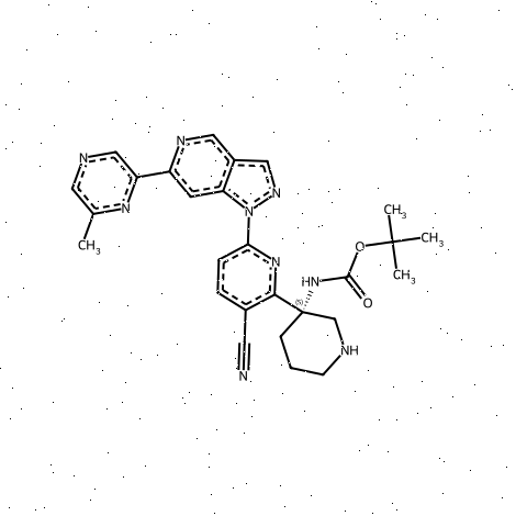 Cc1cncc(-c2cc3c(cn2)cnn3-c2ccc(C#N)c([C@]3(NC(=O)OC(C)(C)C)CCCNC3)n2)n1